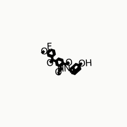 COCc1cc(C(=O)c2ccc(F)c(OC)c2)ccc1C(=O)NC1C2CC3CC1CC(O)(C3)C2